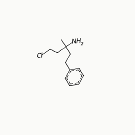 CC(N)(CCCl)CCc1ccccc1